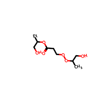 CCC(CO)OC(=O)CCOOC(C)CO